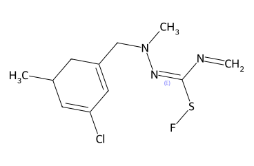 C=N/C(=N\N(C)CC1=CC(Cl)=CC(C)C1)SF